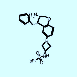 CCCS(=O)(=O)NC1CN(c2ccc3c(c2)[C@H](Cc2ccccc2)[C@H](N)CO3)C1